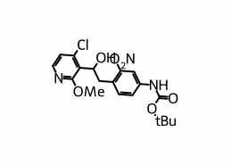 COc1nccc(Cl)c1C(O)Cc1ccc(NC(=O)OC(C)(C)C)cc1[N+](=O)[O-]